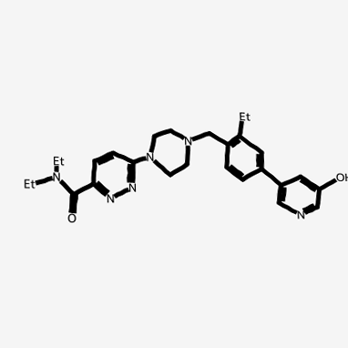 CCc1cc(-c2cncc(O)c2)ccc1CN1CCN(c2ccc(C(=O)N(CC)CC)nn2)CC1